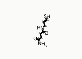 NC(=O)CCC(=O)NCC=CS